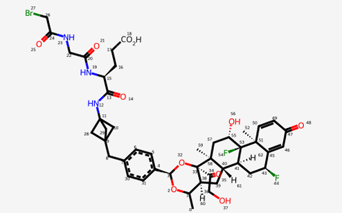 CC1O[C@@H](c2ccc(CC34CC(NC(=O)[C@H](CCC(=O)O)NC(=O)CNC(=O)CBr)(C3)C4)cc2)O[C@]2(C(=O)CO)[C@H]1C[C@H]1[C@@H]3C[C@H](F)C4=CC(=O)C=C[C@]4(C)[C@@]3(F)[C@@H](O)C[C@@]12C